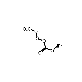 CC(C)OC(=O)OOOC(=O)O